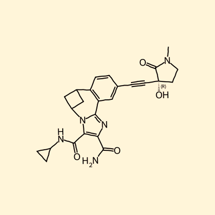 CN1CC[C@@](O)(C#Cc2ccc3c(c2)-c2nc(C(N)=O)c(C(=O)NC4CC4)n2C2CC3C2)C1=O